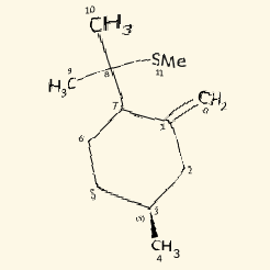 C=C1C[C@@H](C)CCC1C(C)(C)SC